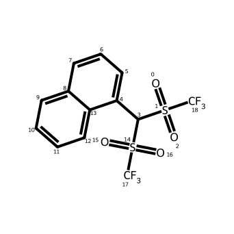 O=S(=O)(C(c1cccc2ccccc12)S(=O)(=O)C(F)(F)F)C(F)(F)F